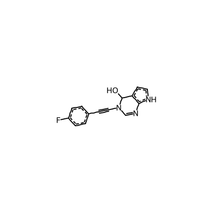 OC1c2cc[nH]c2N=CN1C#Cc1ccc(F)cc1